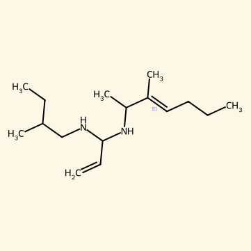 C=CC(NCC(C)CC)NC(C)/C(C)=C/CCC